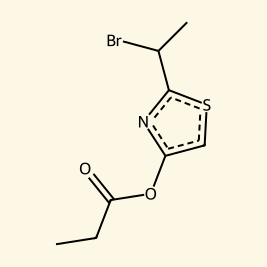 CCC(=O)Oc1csc(C(C)Br)n1